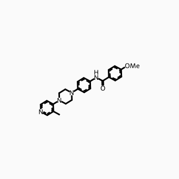 COc1ccc(C(=O)Nc2ccc(N3CCN(c4ccncc4C)CC3)cc2)cc1